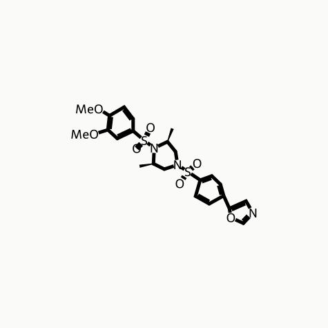 COc1ccc(S(=O)(=O)N2[C@H](C)CN(S(=O)(=O)c3ccc(-c4cnco4)cc3)C[C@@H]2C)cc1OC